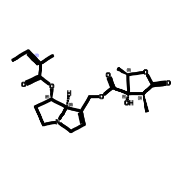 C/C=C(/C)C(=O)O[C@@H]1CCN2CC=C(COC(=O)[C@]3(O)[C@H](C)C(=O)O[C@@H]3C)[C@H]12